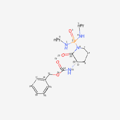 CCCNP(=O)(NCCC)N1CCC[C@H](NC(=O)OCc2ccccc2)C1=O